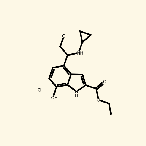 CCOC(=O)c1cc2c(C(CO)NC3CC3)ccc(O)c2[nH]1.Cl